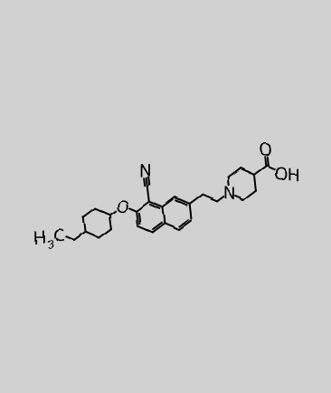 CCC1CCC(Oc2ccc3ccc(CCN4CCC(C(=O)O)CC4)cc3c2C#N)CC1